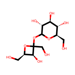 OC[C@H]1OC(OC2(CO)O[C@H](CO)[C@@H]2O)[C@H](O)[C@@H](O)[C@@H]1O